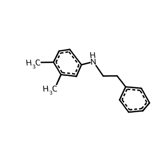 Cc1ccc(NCCc2ccccc2)cc1C